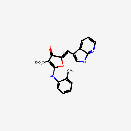 CCOC(=O)C1=C(Nc2ccccc2OC)O/C(=C\c2c[nH]c3ncccc23)C1=O